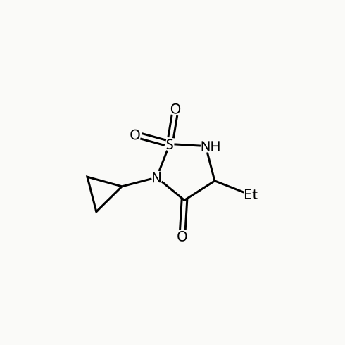 CCC1NS(=O)(=O)N(C2CC2)C1=O